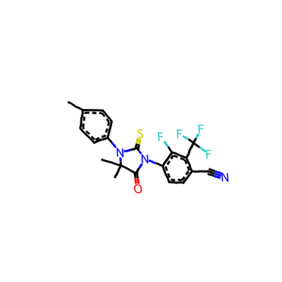 Cc1ccc(N2C(=S)N(c3ccc(C#N)c(C(F)(F)F)c3F)C(=O)C2(C)C)cc1